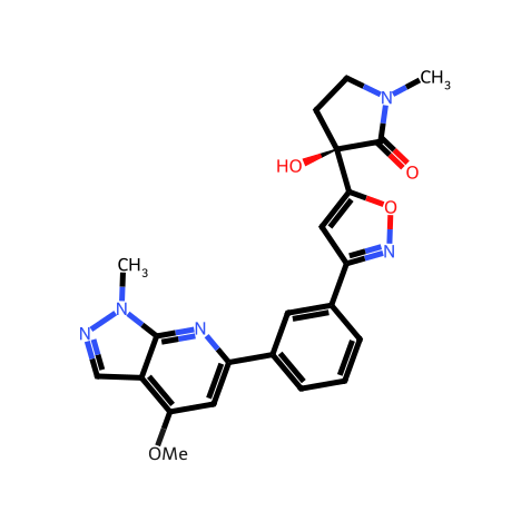 COc1cc(-c2cccc(-c3cc([C@]4(O)CCN(C)C4=O)on3)c2)nc2c1cnn2C